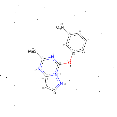 CSc1nc(Oc2cccc([N+](=O)[O-])c2)n2nccc2n1